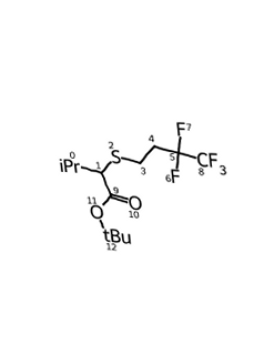 CC(C)C(SCCC(F)(F)C(F)(F)F)C(=O)OC(C)(C)C